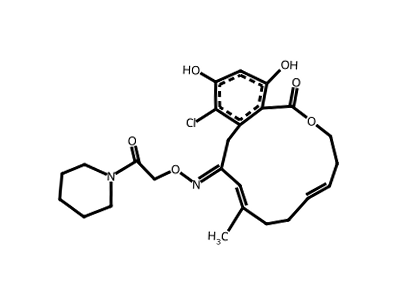 C/C1=C\C(=N\OCC(=O)N2CCCCC2)Cc2c(Cl)c(O)cc(O)c2C(=O)OCC/C=C/CC1